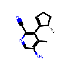 Cc1c(N)cnc(C#N)c1C1=CCC[C@@H]1C